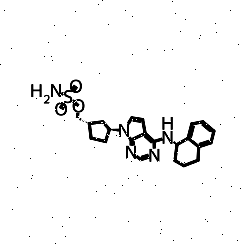 NS(=O)(=O)OC[C@H]1CC[C@H](n2ccc3c(N[C@H]4CCCc5ccccc54)ncnc32)C1